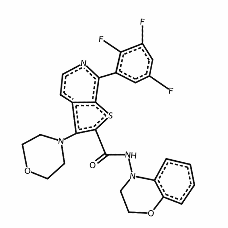 O=C(NN1CCOc2ccccc21)c1sc2c(-c3cc(F)cc(F)c3F)nccc2c1N1CCOCC1